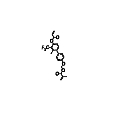 C=CC(=O)Oc1ccc(-c2ccc(OCOC(=O)C(=C)C)cc2)c(C)c1C(F)(F)F